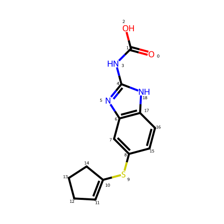 O=C(O)Nc1nc2cc(SC3=CCCC3)ccc2[nH]1